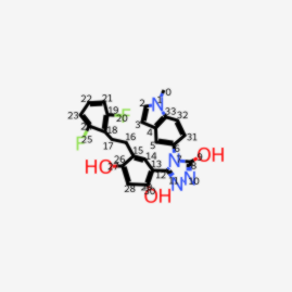 Cn1ccc2cc(-n3c(O)nnc3-c3cc(CCc4c(F)cccc4F)c(O)cc3O)ccc21